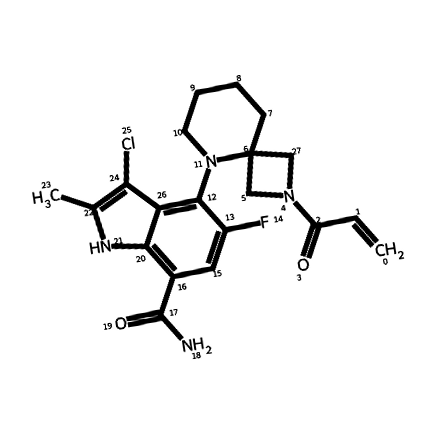 C=CC(=O)N1CC2(CCCCN2c2c(F)cc(C(N)=O)c3[nH]c(C)c(Cl)c23)C1